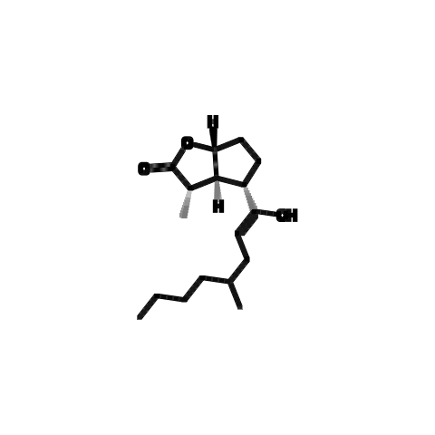 CCCCC(C)CC=C(O)[C@H]1CC[C@H]2OC(=O)[C@@H](C)[C@H]12